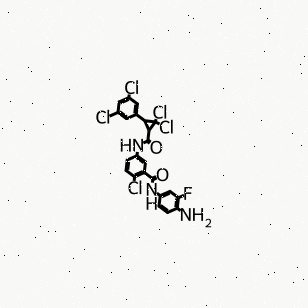 Nc1ccc(NC(=O)c2cc(NC(=O)C3C(c4cc(Cl)cc(Cl)c4)C3(Cl)Cl)ccc2Cl)cc1F